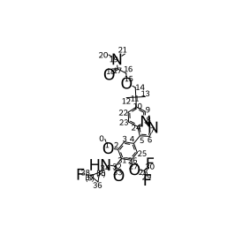 COc1cc(-c2cnn3cc(C(C)(C)COCC(=O)N(C)C)ccc23)cc(OC(F)F)c1C(=O)N[C@@H]1C[C@@H]1F